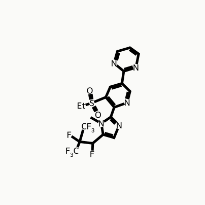 CCS(=O)(=O)c1cc(-c2ncccn2)cnc1-c1ncc(C(F)C(F)(C(F)(F)F)C(F)(F)F)n1C